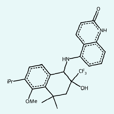 COc1c(C(C)C)ccc2c1C(C)(C)CC(O)(C(F)(F)F)C2Nc1cccc2[nH]c(=O)ccc12